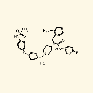 Cc1ccccc1CN(C(=O)Nc1ccc(F)cc1)C1CCN(Cc2ccc(Oc3ccc(NS(C)(=O)=O)cc3)cc2)CC1.Cl